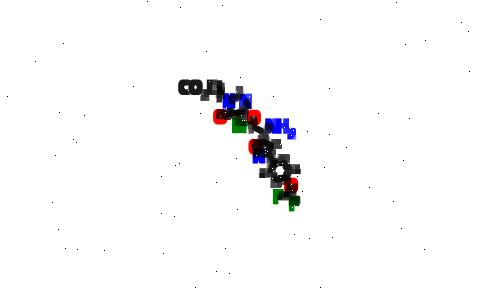 CCOC(=O)Cn1cnc(OC[C@H](N)c2cc(-c3ccc(OC(F)F)cc3)no2)c(Br)c1=O